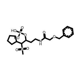 CS(=O)(=O)C(C1CCCC1)C(CCNC(=O)COCc1ccccc1)OP(=O)(O)O